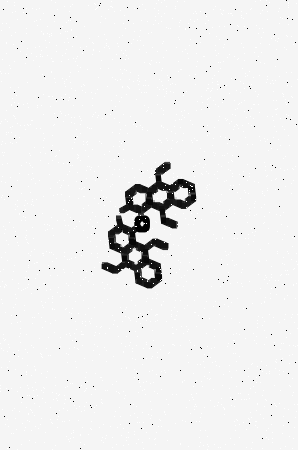 C=Cc1c2ccccc2c(C=C)c2c(Oc3c(C)ccc4c(C=C)c5ccccc5c(C=C)c34)c(C)ccc12